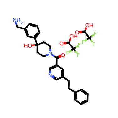 NCc1cccc(C2(O)CCN(C(=O)c3cncc(CCc4ccccc4)c3)CC2)c1.O=C(O)C(F)(F)F.O=C(O)C(F)(F)F